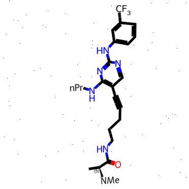 CCCNc1nc(Nc2cccc(C(F)(F)F)c2)ncc1C#CCCCNC(=O)[C@H](C)NC